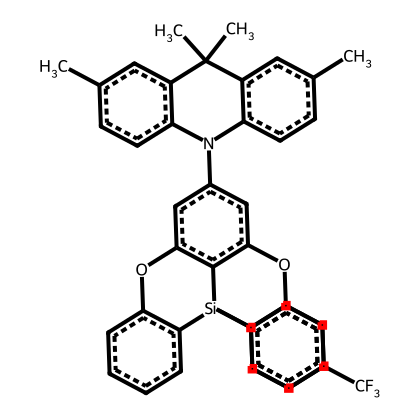 Cc1ccc2c(c1)C(C)(C)c1cc(C)ccc1N2c1cc2c3c(c1)Oc1ccccc1[Si]3(c1ccc(C(F)(F)F)cc1)c1ccccc1O2